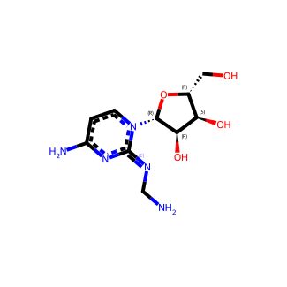 NC/N=c1\nc(N)ccn1[C@@H]1O[C@H](CO)[C@@H](O)[C@H]1O